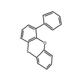 [c]1ccc(-c2ccccc2)c2c1Sc1ccccc1O2